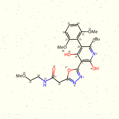 CCCCc1nc(O)c(-c2nnc(CC(=O)NCCOC)o2)c(O)c1-c1c(OC)cccc1OC